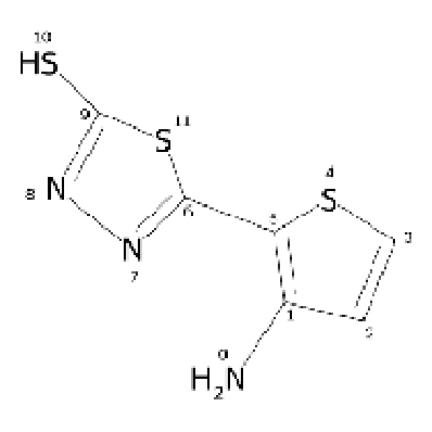 Nc1ccsc1-c1nnc(S)s1